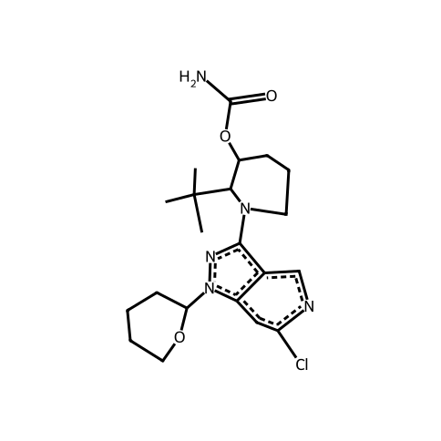 CC(C)(C)C1C(OC(N)=O)CCCN1c1nn(C2CCCCO2)c2cc(Cl)ncc12